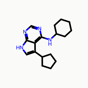 c1nc(NC2CCCCC2)c2c(C3CCCC3)c[nH]c2n1